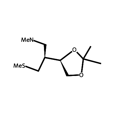 CNC[C@H](CSC)[C@@H]1COC(C)(C)O1